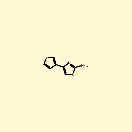 Nc1nc(-c2ccsc2)cs1